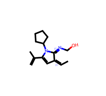 C=C(C)C1=CC(=C/C)/C(=N\CO)N1C1CCCC1